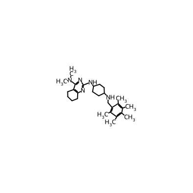 Cc1c(C)c(C)c(CNC2CCC(Nc3nc4c(c(N(C)C)n3)CCCC4)CC2)c(C)c1C